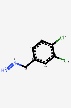 N=NCc1ccc(Cl)c(Cl)c1